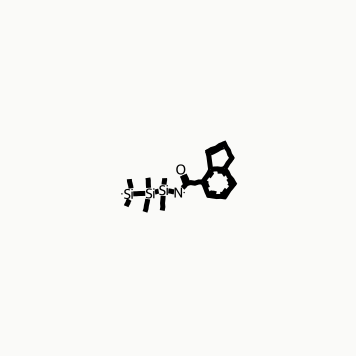 C[Si](C)[Si](C)(C)[Si](C)(C)[N]C(=O)c1cccc2c1C=CC2